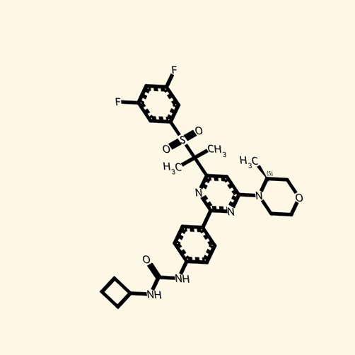 C[C@H]1COCCN1c1cc(C(C)(C)S(=O)(=O)c2cc(F)cc(F)c2)nc(-c2ccc(NC(=O)NC3CCC3)cc2)n1